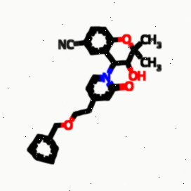 CC1(C)Oc2ccc(C#N)cc2C(n2ccc(CCOCc3ccccc3)cc2=O)C1O